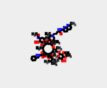 CON=C1C[C@@H](C)O[C@@H](OC2C(C)CC(C)(OC(=O)NCc3ccccc3)C(=O)C(C)C(OC(=O)CC(C)C)C(C)C(C(C)CO[C@@H]3O[C@H](C)[C@@H](O)[C@@H](OC)[C@H]3OC)OC(=O)C(C)C(O[C@H]3CC(C)N(CCCC(=O)Nc4ccc5ccc(C)nc5n4)C[C@H](C)O3)C2C)[C@@H]1O